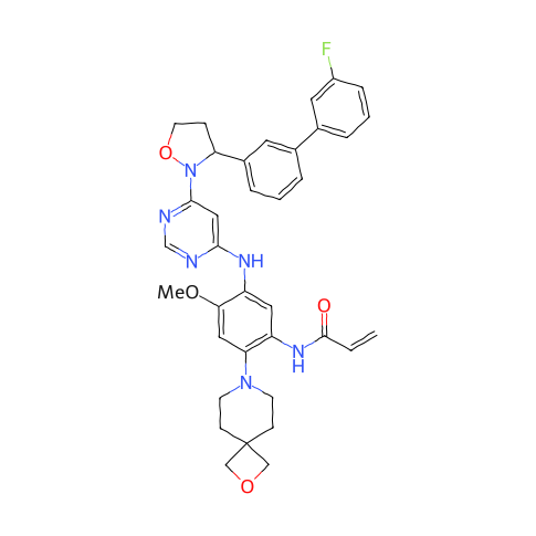 C=CC(=O)Nc1cc(Nc2cc(N3OCCC3c3cccc(-c4cccc(F)c4)c3)ncn2)c(OC)cc1N1CCC2(CC1)COC2